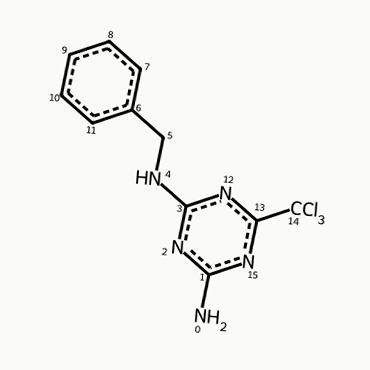 Nc1nc(NCc2ccccc2)nc(C(Cl)(Cl)Cl)n1